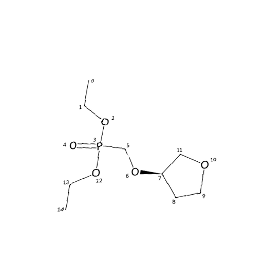 CCOP(=O)(CO[C@@H]1CCOC1)OCC